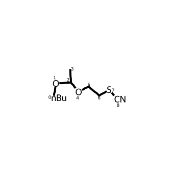 CCCCOC(C)OCCSC#N